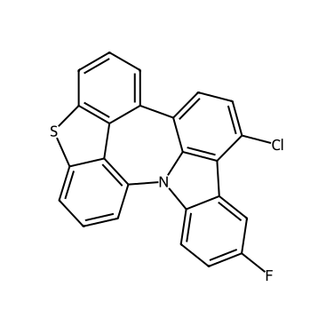 Fc1ccc2c(c1)c1c(Cl)ccc3c4cccc5sc6cccc(c6c54)n2c31